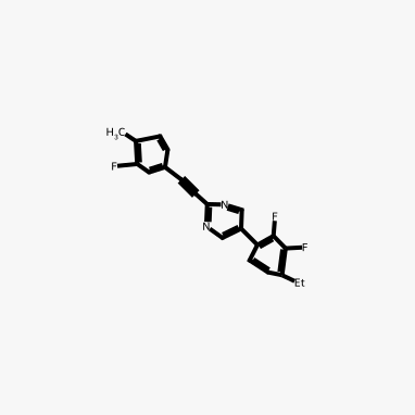 CCc1ccc(-c2cnc(C#Cc3ccc(C)c(F)c3)nc2)c(F)c1F